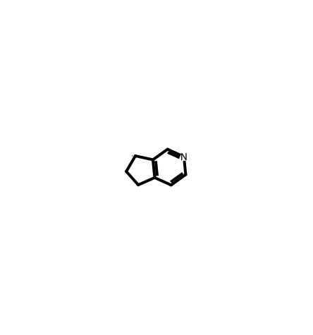 [CH]1CCc2ccncc21